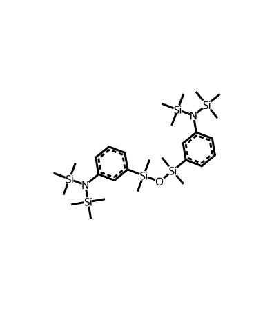 C[Si](C)(O[Si](C)(C)c1cccc(N([Si](C)(C)C)[Si](C)(C)C)c1)c1cccc(N([Si](C)(C)C)[Si](C)(C)C)c1